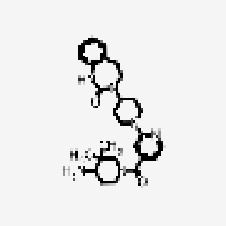 CC1(C)CN(C(=O)c2ccnc(N3CCC(N4CCc5ccccc5NC4=O)CC3)c2)CCC1N